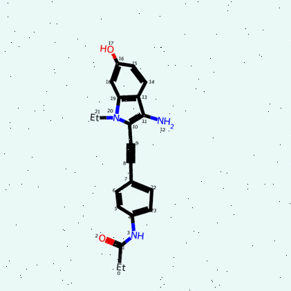 CCC(=O)Nc1ccc(C#Cc2c(N)c3ccc(O)cc3n2CC)cc1